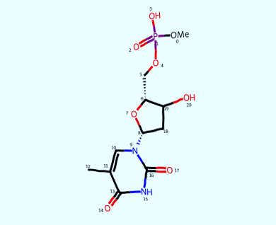 COP(=O)(O)OC[C@H]1O[C@@H](n2cc(C)c(=O)[nH]c2=O)CC1O